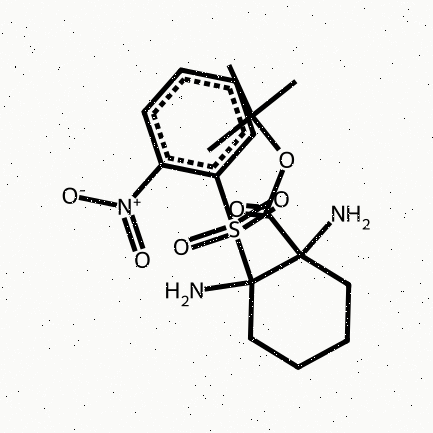 CC(C)(C)OC(=O)C1(N)CCCCC1(N)S(=O)(=O)c1ccccc1[N+](=O)[O-]